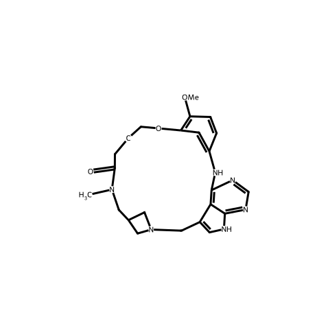 COc1ccc2cc1OCCCC(=O)N(C)CC1CN(Cc3c[nH]c4ncnc(c34)N2)C1